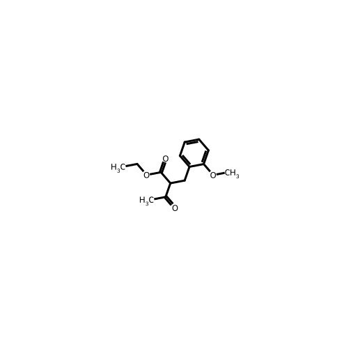 CCOC(=O)C(Cc1ccccc1OC)C(C)=O